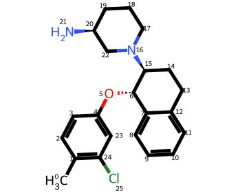 Cc1ccc(O[C@H]2c3ccccc3CC[C@@H]2N2CCC[C@H](N)C2)cc1Cl